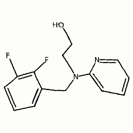 OCCN(Cc1cccc(F)c1F)c1ccccn1